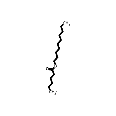 [CH2]CCCCC(=O)OCCCCCCCCCC